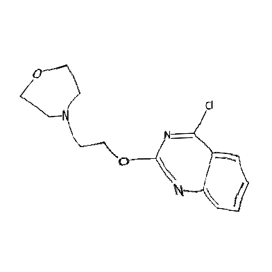 Clc1nc(OCCN2CCOCC2)nc2ccccc12